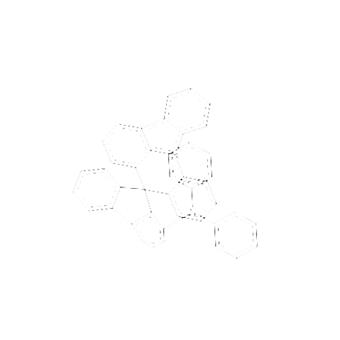 c1ccc(N(c2ccccc2)c2cccc3c2C2(c4ccccc4-3)c3ccccc3-n3c4ccccc4c4cccc2c43)cc1